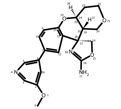 COc1cncc(-c2ccc3c(c2)[C@@]2(COC(N)=N2)[C@H]2COCC[C@@H]2O3)c1